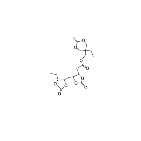 C=C1OCC(CC)(COC(=O)CC2OC(=O)OC2CC2OC(=O)OC2CC)CO1